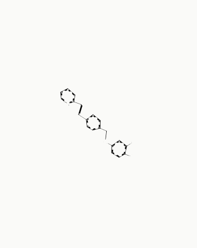 Clc1ccc(OCc2ccc(/C=C/c3ccccn3)cc2)cc1Cl